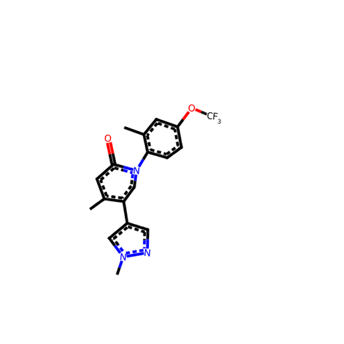 Cc1cc(=O)n(-c2ccc(OC(F)(F)F)cc2C)cc1-c1cnn(C)c1